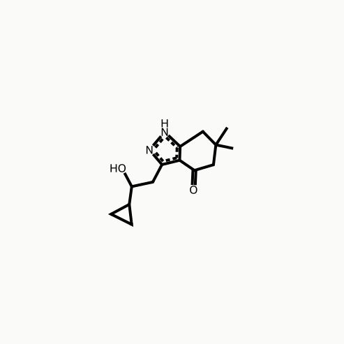 CC1(C)CC(=O)c2c(CC(O)C3CC3)n[nH]c2C1